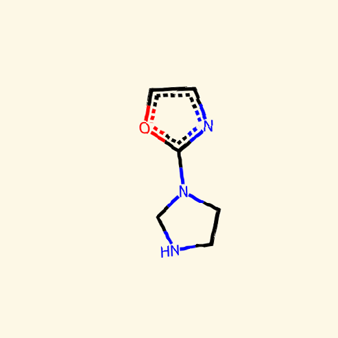 c1coc(N2CCNC2)n1